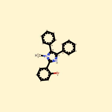 Cn1c(-c2ccccc2Br)nc(-c2ccccc2)c1-c1ccccc1